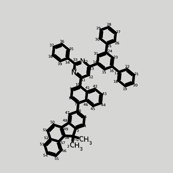 CC1(C)c2ccc(-c3ccc(-c4cc(-c5cc(-c6ccccc6)cc(-c6ccccc6)c5)nc(-c5ccccc5)n4)c4ccccc34)cc2-c2ccc3ccccc3c21